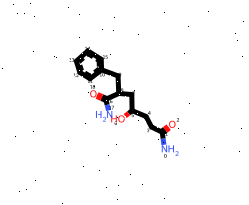 NC(=O)CCC(O)CC(Cc1ccccc1)C(N)=O